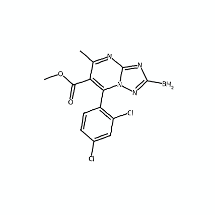 Bc1nc2nc(C)c(C(=O)OC)c(-c3ccc(Cl)cc3Cl)n2n1